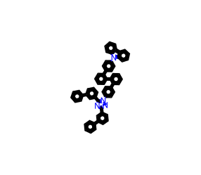 c1ccc(-c2cccc(-c3nc(-c4cccc(-c5ccccc5)c4)n(-c4ccc(-c5ccccc5-c5ccccc5-c5ccc(-n6c7ccccc7c7ccccc76)cc5)cc4)n3)c2)cc1